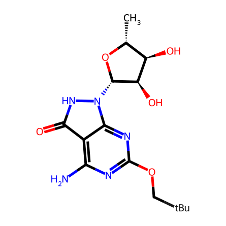 C[C@H]1O[C@@H](n2[nH]c(=O)c3c(N)nc(OCC(C)(C)C)nc32)[C@H](O)[C@@H]1O